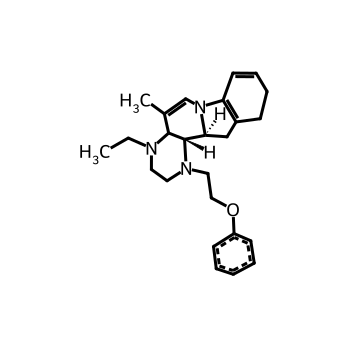 CCN1CCN(CCOc2ccccc2)[C@@H]2C1C(C)=CN1C3=C(CCC=C3)C[C@@H]21